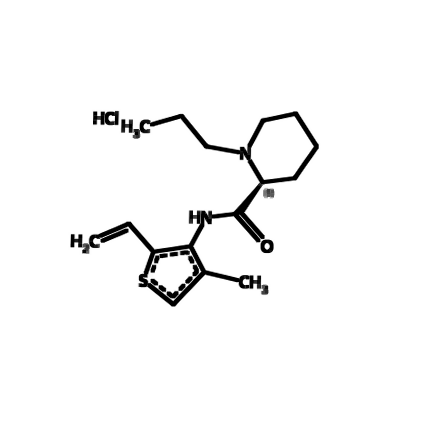 C=Cc1scc(C)c1NC(=O)[C@@H]1CCCCN1CCC.Cl